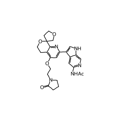 CC(=O)Nc1cc2c(-c3cc(OCCN4CCCC4=O)c4c(n3)C3(CCOC3)OCC4)c[nH]c2cn1